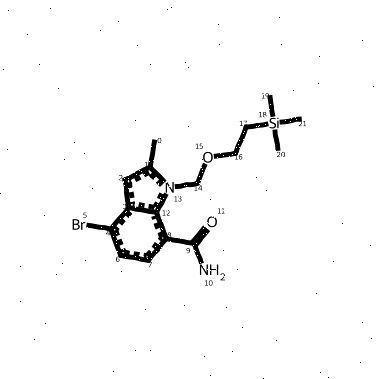 Cc1cc2c(Br)ccc(C(N)=O)c2n1COCC[Si](C)(C)C